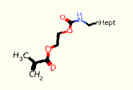 C=C(C)C(=O)OCCOC(=O)NCCCCCCCC